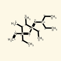 C=NP(CC)(CC)=NP(CC)(CC)=NP(CC)CC